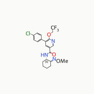 CON=C1CCCC[C@@H]1NC(=O)c1cnc(OCC(F)(F)F)c(-c2ccc(Cl)cc2)c1